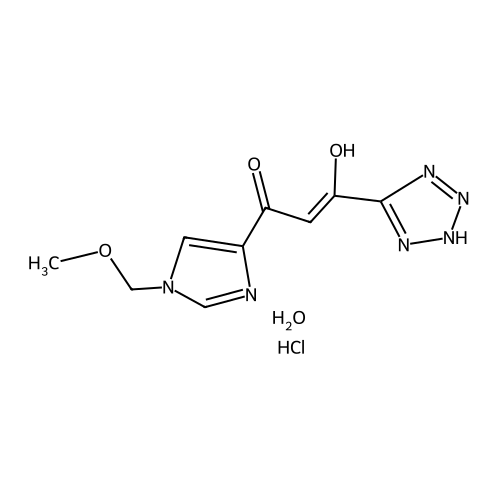 COCn1cnc(C(=O)C=C(O)c2nn[nH]n2)c1.Cl.O